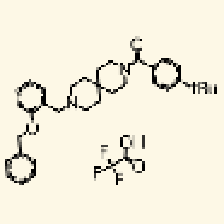 CC(C)(C)c1ccc(C(=O)N2CCC3(CCN(Cc4ccccc4OCc4ccccc4)CC3)CC2)cc1.O=C(O)C(F)(F)F